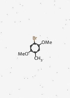 COc1cc(Br)c(OC)cc1C